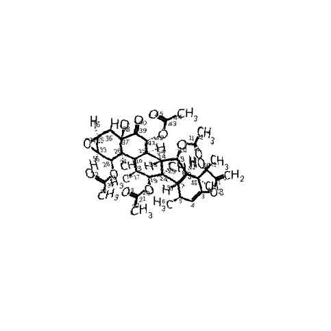 C=C1OC2=C[C@@H](C)[C@H]3[C@@H]([C@H](OC(C)=O)[C@H]4[C@H]5C([C@H](C)[C@H](OC(C)=O)[C@]34C)[C@@]3(C)[C@@H](OC(C)=O)[C@H]4O[C@H]4C[C@]3(O)C(=O)[C@@H]5OC(C)=O)[C@@]2(C)[C@]1(C)O